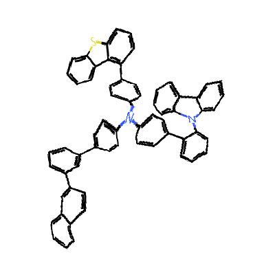 c1cc(-c2ccc(N(c3ccc(-c4ccccc4-n4c5ccccc5c5ccccc54)cc3)c3ccc(-c4cccc5sc6ccccc6c45)cc3)cc2)cc(-c2ccc3ccccc3c2)c1